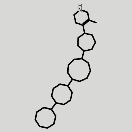 CC1=C(C2CCCC(C3CCCCC(C4CCCC(C5CCCCCCC5)CCC4)CCC3)CC2)CCNC1